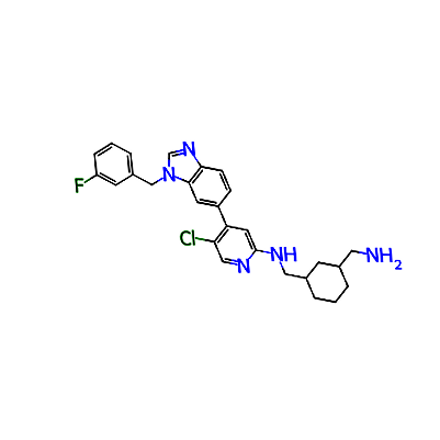 NCC1CCCC(CNc2cc(-c3ccc4ncn(Cc5cccc(F)c5)c4c3)c(Cl)cn2)C1